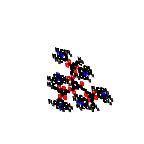 CCCCC(CCCCC(=O)c1cc(C(=O)OCCCC(CCCC)(C(=O)OC2CC(C)(C)NC(C)(C)C2)C(=O)OC2CC(C)(C)NC(C)(C)C2)cc(C(=O)OCCCC(CCCC)(C(=O)OC2CC(C)(C)NC(C)(C)C2)C(=O)OC2CC(C)(C)NC(C)(C)C2)c1)(C(=O)OC1CC(C)(C)NC(C)(C)C1)C(=O)OC1CC(C)(C)NC(C)(C)C1